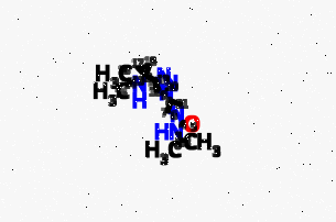 CC(C)NC(=O)N1CC(n2cc(C3(NC(C)C)CC3)nn2)C1